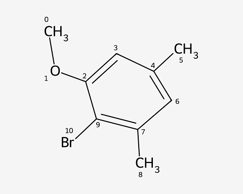 COc1cc(C)cc(C)c1Br